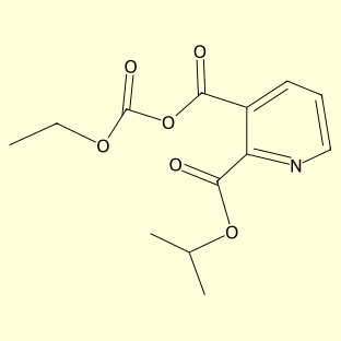 CCOC(=O)OC(=O)c1cccnc1C(=O)OC(C)C